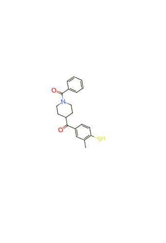 Cc1cc(C(=O)C2CCN(C(=O)c3ccccc3)CC2)ccc1S